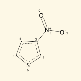 O=[N+]([O-])c1c[c]sc1